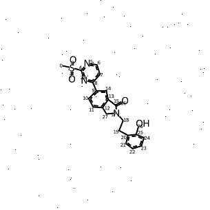 CS(=O)(=O)c1nccc(-c2ccc3c(c2)C(=O)N(CCc2ccccc2O)C3)n1